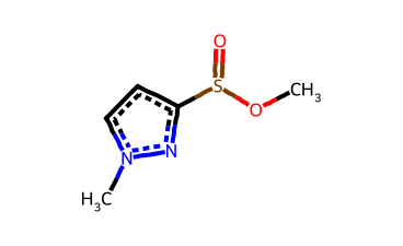 COS(=O)c1ccn(C)n1